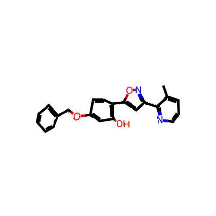 Cc1cccnc1-c1cc(-c2ccc(OCc3ccccc3)cc2O)on1